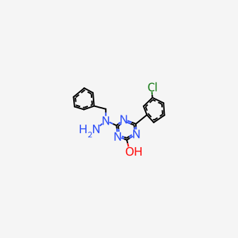 NN(Cc1ccccc1)c1nc(O)nc(-c2cccc(Cl)c2)n1